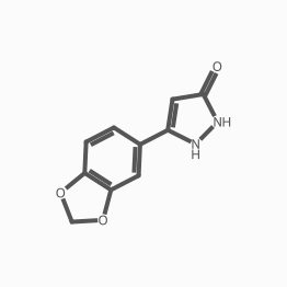 O=c1cc(-c2ccc3c(c2)OCO3)[nH][nH]1